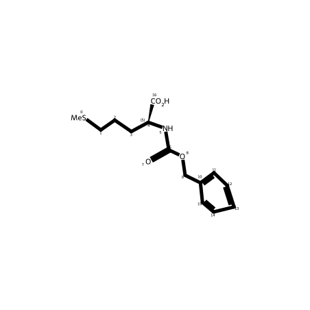 CSCCC[C@H](NC(=O)OCc1ccccc1)C(=O)O